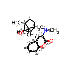 CC12CCC(CC1=O)C2(C)C.CN(C)c1cc2ccccc2oc1=O